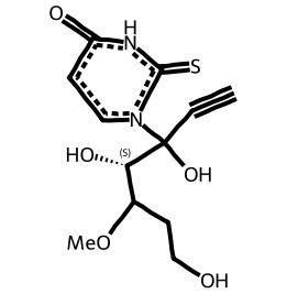 C#CC(O)([C@@H](O)C(CCO)OC)n1ccc(=O)[nH]c1=S